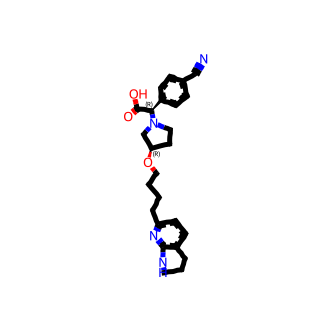 N#Cc1ccc([C@H](C(=O)O)N2CC[C@@H](OCCCCc3ccc4c(n3)NCCC4)C2)cc1